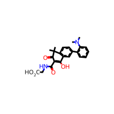 CN(C)c1ccccc1-c1ccc2c(c1)C(O)=C(C(=O)NCC(=O)O)C(=O)C2(C)C